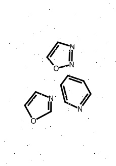 c1ccncc1.c1cocn1.c1conn1